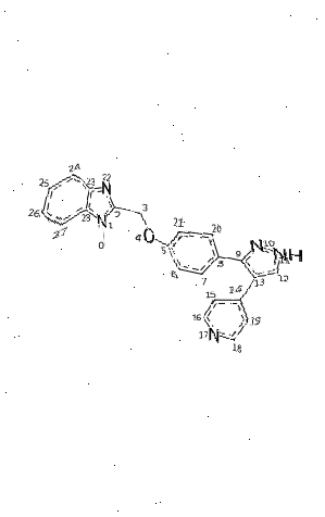 Cn1c(COc2ccc(-c3n[nH]cc3-c3ccncc3)cc2)nc2ccccc21